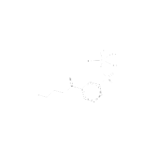 CCCCP(CCCC)(CCCC)(CCCC)OS(=O)(=O)c1cccc(C(=O)OCCO)c1